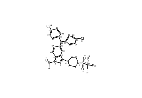 CC(=O)n1nc(N2CCN(S(=O)(=O)C(F)(F)F)CC2)c2cc(C(c3ccc(Cl)cc3)c3ccc(Cl)cc3)ccc21